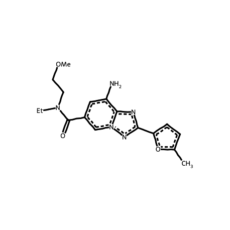 CCN(CCOC)C(=O)c1cc(N)c2nc(-c3ccc(C)o3)nn2c1